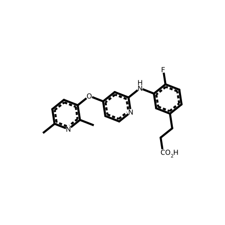 Cc1ccc(Oc2ccnc(Nc3cc(CCC(=O)O)ccc3F)c2)c(C)n1